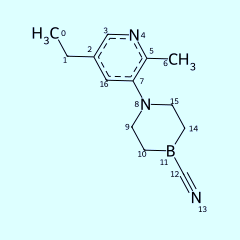 CCc1cnc(C)c(N2CCB(C#N)CC2)c1